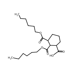 CCCCCCOC(=O)C1CCCC(C(=O)O)C1C(=O)OCCCCCC